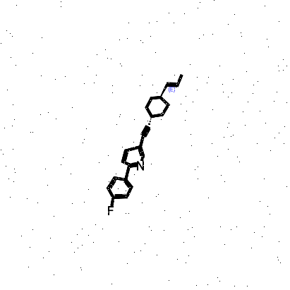 C/C=C/[C@H]1CC[C@H](C#Cc2ccc(-c3ccc(F)cc3)nc2)CC1